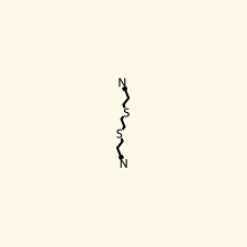 N#CCCSCCSCCC#N